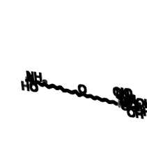 C[C@@H](N)[C@H](O)CCCCCCCCCCCCC(=O)CCCCCCCCC[C@@H](OC1OC(CO)C(O)C(O)C1O)[C@@H](N)CO